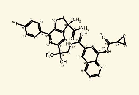 C[C@]1(C(N)=O)COc2c1cc([C@@](O)(CNC(=O)c1cc(NC(=O)C3CC3)c3ncccc3c1)C(F)(F)F)nc2-c1ccc(F)cc1